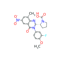 COc1ccc(-n2c([C@H]3CCCN3C(=O)O)nc3c(C)cc([N+](=O)[O-])cc3c2=O)cc1F